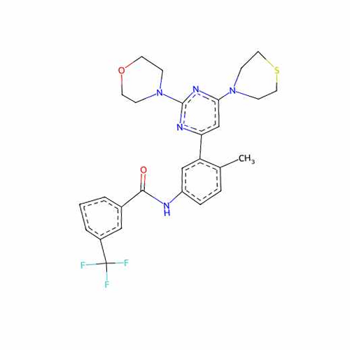 Cc1ccc(NC(=O)c2cccc(C(F)(F)F)c2)cc1-c1cc(N2CCSCC2)nc(N2CCOCC2)n1